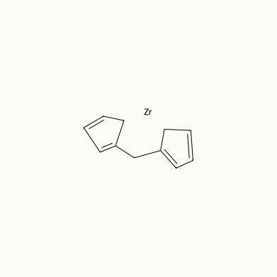 C1=CCC(CC2=CC=CC2)=C1.[Zr]